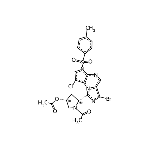 CC(=O)O[C@@H]1C[C@H](c2nc(Br)c3cnc4c(c(Cl)cn4S(=O)(=O)c4ccc(C)cc4)n23)N(C(C)=O)C1